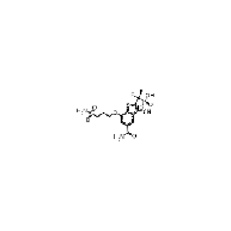 N#Cc1c(C(F)(F)P(=O)(O)O)sc2c(OCCCS(N)(=O)=O)cc(C(N)=O)cc12